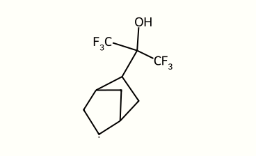 OC(C1CC2[CH]CC1C2)(C(F)(F)F)C(F)(F)F